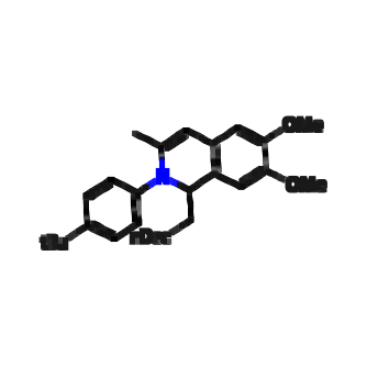 CCCCCCCCCCCC1c2cc(OC)c(OC)cc2C=C(C)N1c1ccc(C(C)(C)C)cc1